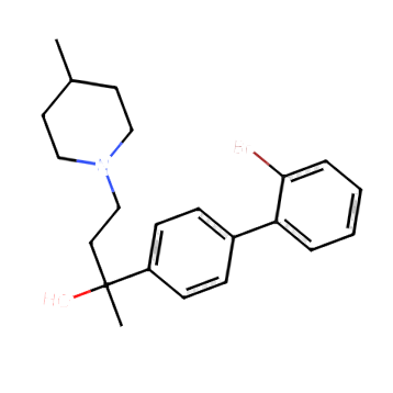 CC1CCN(CCC(C)(O)c2ccc(-c3ccccc3Br)cc2)CC1